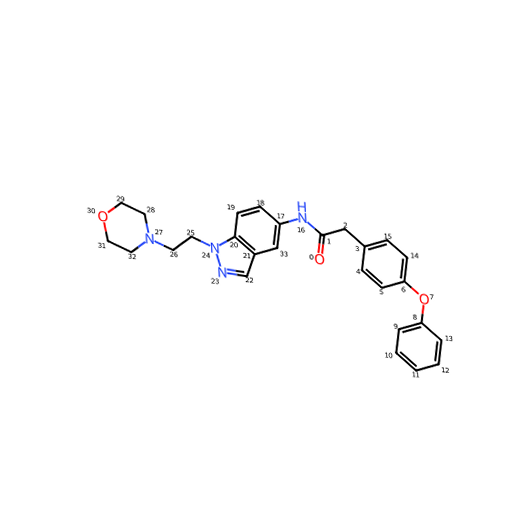 O=C(Cc1ccc(Oc2ccccc2)cc1)Nc1ccc2c(cnn2CCN2CCOCC2)c1